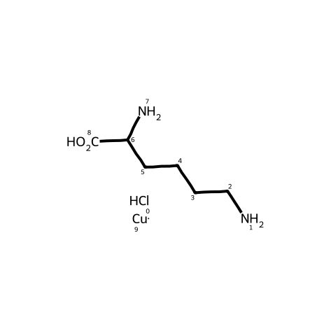 Cl.NCCCCC(N)C(=O)O.[Cu]